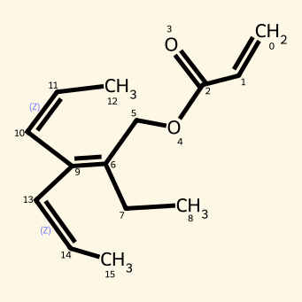 C=CC(=O)OCC(CC)=C(/C=C\C)/C=C\C